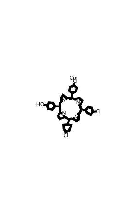 Oc1ccc(-c2c3nc(c(-c4ccc(Cl)cc4)c4ccc([nH]4)c(-c4ccc(Cl)cc4)c4nc(c(-c5ccc(Cl)cc5)c5ccc2[nH]5)C=C4)C=C3)cc1.[Co]